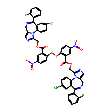 O=C(OCc1ncc2n1-c1ccc(Cl)cc1C(c1ccccc1F)=NC2)c1cc([N+](=O)[O-])ccc1SSc1ccc([N+](=O)[O-])cc1C(=O)OCc1ncc2n1-c1ccc(Cl)cc1C(c1ccccc1F)=NC2